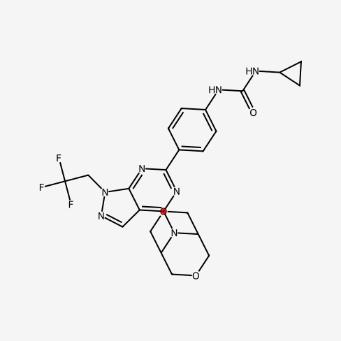 O=C(Nc1ccc(-c2nc(N3C4COCC3COC4)c3cnn(CC(F)(F)F)c3n2)cc1)NC1CC1